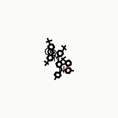 Cc1ccc(N(c2ccc(C)cc2)c2ccc(N3c4ccc(C(C)(C)C)cc4B4c5ccc(C(C)(C)C)cc5Oc5cc(C(C)(C)C)cc3c54)c3c2-c2ccccc2C3(C)C)cc1